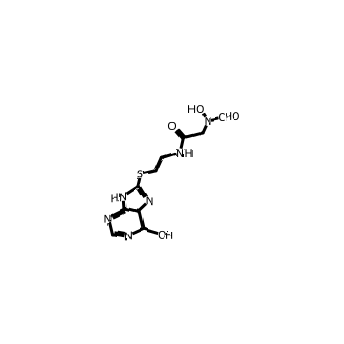 O=CN(O)CC(=O)NCCSC1=NC2C(=NC=NC2O)N1